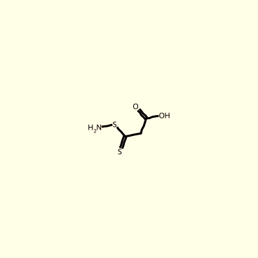 NSC(=S)CC(=O)O